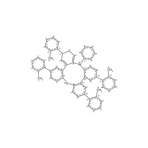 Cc1ccccc1-c1ccc2c(c1)C1=CC(c3ccccc3C)CC=C1N(c1ccccc1)c1ccc(-c3ccccc3C)cc1-c1cc(-c3ccccc3C)ccc1O2